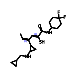 C/C=C(\C=C(/S)C(=O)NC1CCC(F)(F)CC1)C1CC1NCC1CC1